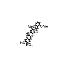 COc1cccc(OC)c1CS(=O)(=O)c1ccc2c(c1)S/C(=C/c1ccc(O)c([N+](=O)[O-])c1)C(=O)N2